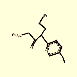 CCOC(=O)CC(=O)C(CCC(C)C)c1ccc(C)cn1